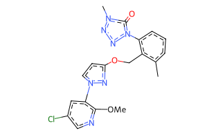 COc1ncc(Cl)cc1-n1ccc(OCc2c(C)cccc2-n2nnn(C)c2=O)n1